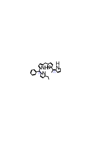 CCC1=N/C(=C(/c2ccccc2)c2ccc(CC3C=CC(/C(C)=C4/C=CCN4)=N3)[nH]2)C=C1